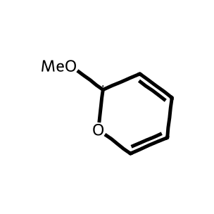 CO[C]1C=CC=CO1